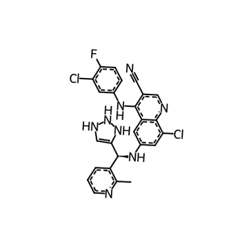 Cc1ncccc1[C@H](Nc1cc(Cl)c2ncc(C#N)c(Nc3ccc(F)c(Cl)c3)c2c1)C1=CNNN1